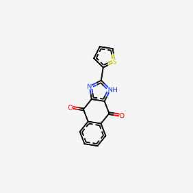 O=C1c2ccccc2C(=O)c2[nH]c(-c3cccs3)nc21